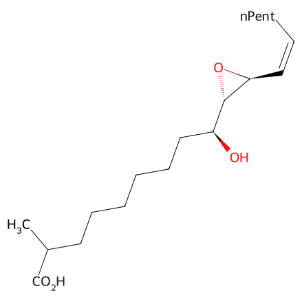 CCCCC/C=C\[C@@H]1O[C@H]1[C@@H](O)CCCCCCC(C)C(=O)O